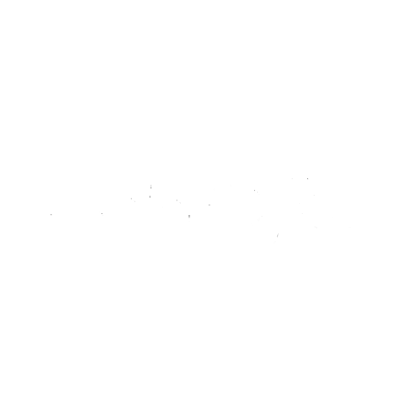 Cc1cc2c(cc1C(=O)O)NC(=O)/C2=C(\Nc1ccc(C(=O)NCC(=O)N2CCN(CCO)CC2)cc1)c1ccccc1